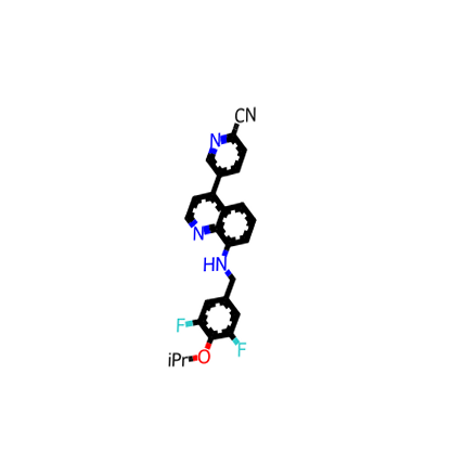 CC(C)Oc1c(F)cc(CNc2cccc3c(-c4ccc(C#N)nc4)ccnc23)cc1F